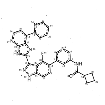 O=C(Nc1cncc(-c2ccc3[nH]nc(-c4nc5c(-c6ccccn6)ccnc5[nH]4)c3c2F)c1)C1CCC1